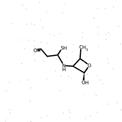 CC1O[C@@H](O)C1NC(S)CC=O